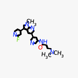 CN(C)C/C=C/C(=O)Nc1cncc(-c2cnc3c(c2)c(-c2ccnc(F)c2)cn3C)c1